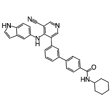 N#Cc1cncc(-c2cccc(-c3ccc(C(=O)NC4CCCCC4)cc3)c2)c1Nc1ccc2[nH]ccc2c1